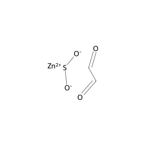 O=CC=O.[O-]S[O-].[Zn+2]